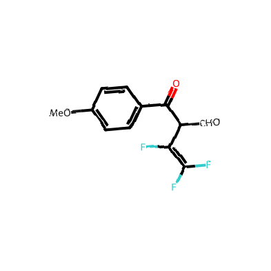 COc1ccc(C(=O)C(C=O)C(F)=C(F)F)cc1